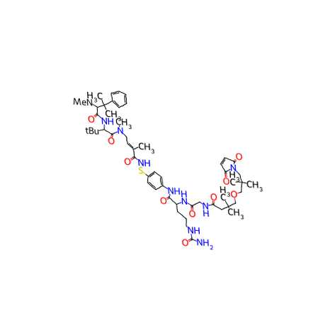 CNC(C(=O)NC(C(=O)N(C)C/C=C(\C)C(=O)NSc1ccc(NC(=O)C(CCCNC(N)=O)NC(=O)CNC(=O)CC(C)(C)COCC(C)(C)CN2C(=O)C=CC2=O)cc1)C(C)(C)C)C(C)(C)c1ccccc1